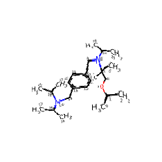 CC(C)OCC(C)(C)N(Cc1ccc(CN(C(C)C)C(C)C)cc1)C(C)C